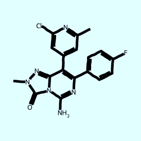 Cc1cc(-c2c(-c3ccc(F)cc3)nc(N)n3c(=O)n(C)nc23)cc(Cl)n1